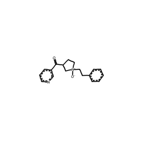 O=C(c1cccnc1)C1CC[N+]([O-])(CCc2ccccc2)C1